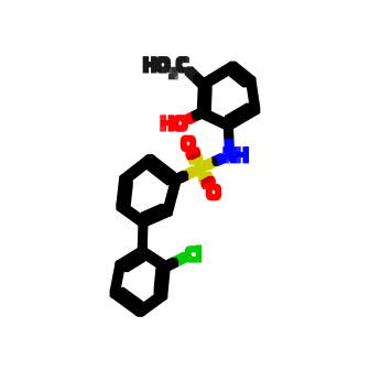 O=C(O)c1cccc(NS(=O)(=O)c2cccc(-c3ccccc3Cl)c2)c1O